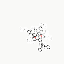 N#Cc1cccc(-c2cc(-c3nc(-c4ccccc4)nc(-c4ccccc4)n3)cc(-c3cccc(C#N)c3)c2-n2c3ccc(-c4c(C#N)cc(C#N)cc4C#N)cc3c3cc(-c4c(C#N)cc(C#N)cc4C#N)ccc32)c1